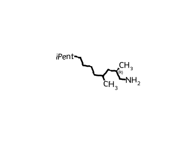 CCCC(C)CCCCC(C)C[C@@H](C)CN